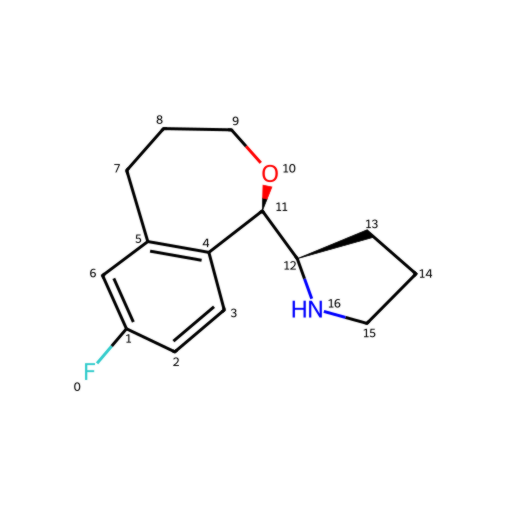 Fc1ccc2c(c1)CCCO[C@H]2[C@H]1CCCN1